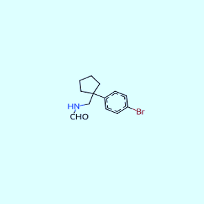 O=CNCC1(c2ccc(Br)cc2)CCCC1